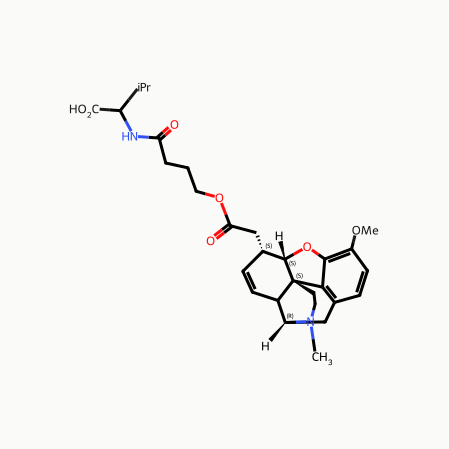 COc1ccc2c3c1O[C@H]1[C@@H](CC(=O)OCCCC(=O)NC(C(=O)O)C(C)C)C=CC4[C@@H](C2)N(C)CC[C@@]341